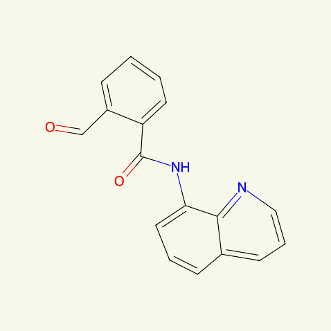 O=Cc1ccccc1C(=O)Nc1cccc2cccnc12